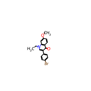 CCn1cc(-c2ccc(Br)cc2)c(=O)c2ccc(OC)cc21